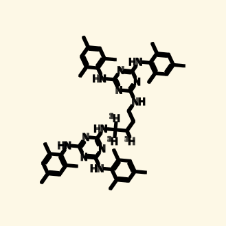 [3H]C(CCNc1nc(Nc2c(C)cc(C)cc2C)nc(Nc2c(C)cc(C)cc2C)n1)C([3H])([3H])Nc1nc(Nc2c(C)cc(C)cc2C)nc(Nc2c(C)cc(C)cc2C)n1